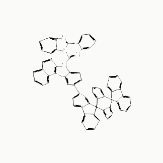 c1ccc2c(c1)-c1ccccc1C21c2ccccc2C2(c3ccccc3-c3ccc(-c4ccc5c(c4)c4c6ccccc6ccc4n5-c4nc5ccccc5c5nc6ccccc6n45)cc32)c2ccccc21